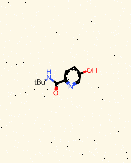 CC(C)(C)NC(=O)c1ccc(O)cn1